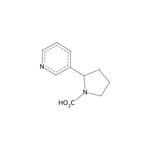 O=C(O)N1CC[CH]C1c1cccnc1